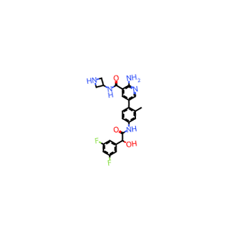 Cc1cc(NC(=O)C(O)c2cc(F)cc(F)c2)ccc1-c1cnc(N)c(C(=O)NC2CNC2)c1